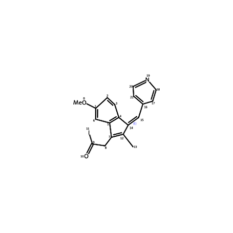 COc1ccc2c(c1)C(CC(=O)I)=C(C)/C2=C/c1ccncc1